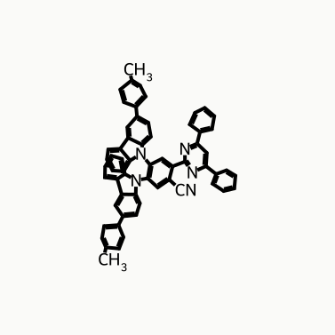 Cc1ccc(-c2ccc3c(c2)c2ccccc2n3-c2cc(C#N)c(-c3nc(-c4ccccc4)cc(-c4ccccc4)n3)cc2-n2c3ccccc3c3cc(-c4ccc(C)cc4)ccc32)cc1